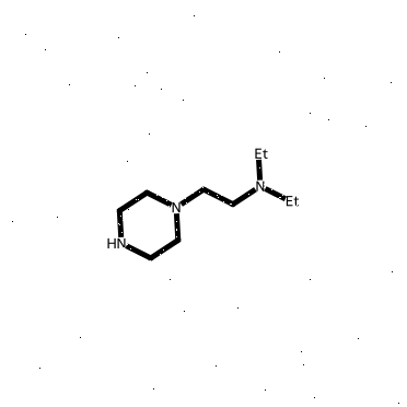 CCN(CC)CCN1CCNCC1